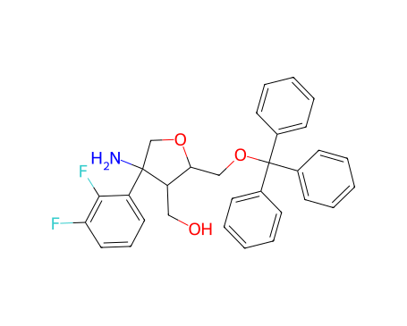 NC1(c2cccc(F)c2F)COC(COC(c2ccccc2)(c2ccccc2)c2ccccc2)C1CO